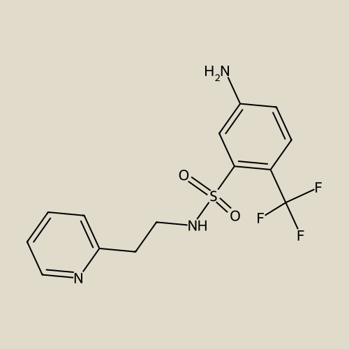 Nc1ccc(C(F)(F)F)c(S(=O)(=O)NCCc2ccccn2)c1